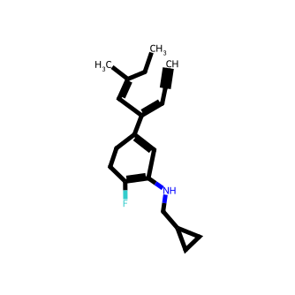 C#C/C=C(\C=C(\C)CC)C1=CC(NCC2CC2)=C(F)CC1